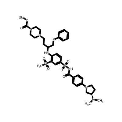 CN(C)[C@@H]1CCN(c2ccc(C(=O)NS(=O)(=O)c3ccc(NC(CCN4CCN(C(=O)OC(C)(C)C)CC4)CSc4ccccc4)c(S(=O)(=O)C(F)(F)F)c3)cc2)C1